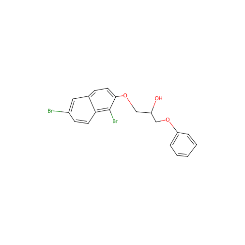 OC(COc1ccccc1)COc1ccc2cc(Br)ccc2c1Br